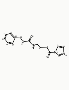 O=C(NCCCC(=O)n1ccnc1)OCc1ccccc1